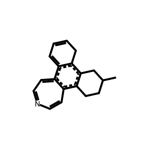 CC1CCc2c(c3c(c4c2C=CN=CC=4)=CC=CC3)C1